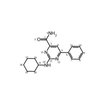 NC(=O)c1cc(-c2ccccc2)nc(NC2CCCCC2)n1